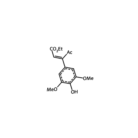 CCOC(=O)C=C(C(C)=O)c1cc(OC)c(O)c(OC)c1